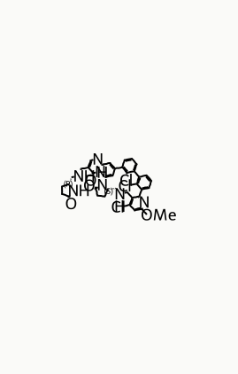 COc1cc(Cl)c(CNC[C@@H]2CCC(=O)N2)c(-c2cccc(-c3cccc(-c4ccn5c(=O)c(CNC[C@H]6CCC(=O)N6)cnc5c4)c3Cl)c2Cl)n1